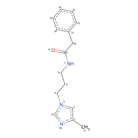 Cc1cn(CCCNC(=O)Cc2ccccc2)cn1